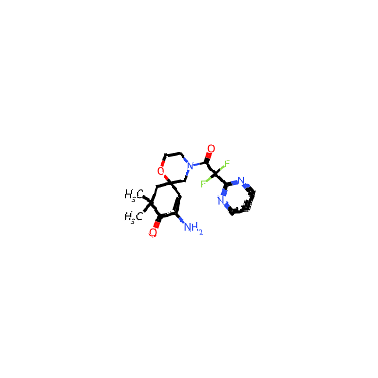 CC1(C)CC2(C=C(N)C1=O)CN(C(=O)C(F)(F)c1ncccn1)CCO2